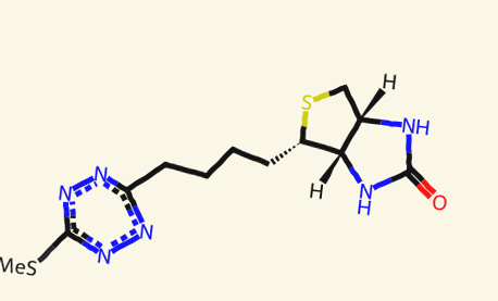 CSc1nnc(CCCC[C@@H]2SC[C@@H]3NC(=O)N[C@@H]32)nn1